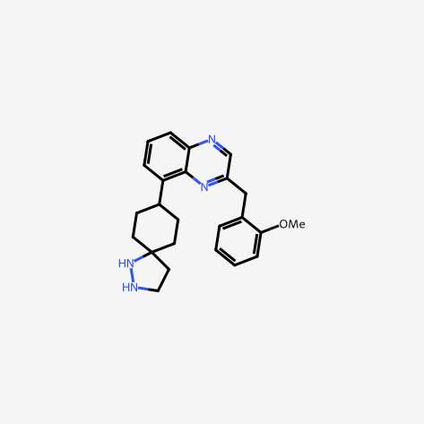 COc1ccccc1Cc1cnc2cccc(C3CCC4(CCNN4)CC3)c2n1